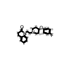 O=C1CCc2ccccc2N1CCN1CCC(Oc2ccc(F)cc2)CC1